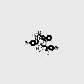 N[C@@H](Cc1c[nH]c2cc(Br)ccc12)C(=O)Oc1c[nH]c2cc(Br)ccc12.N[C@@H](Cc1c[nH]c2ccccc12)C(=O)O